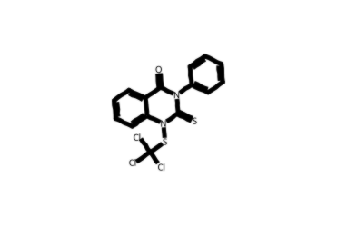 O=c1c2ccccc2n(SC(Cl)(Cl)Cl)c(=S)n1-c1ccccc1